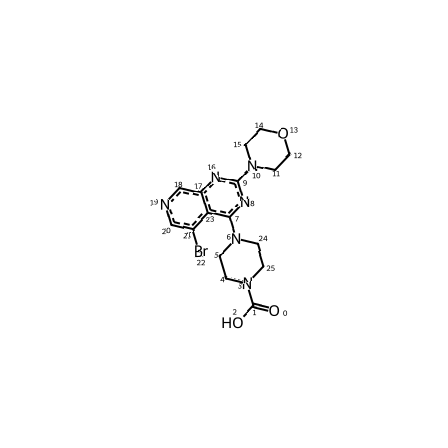 O=C(O)N1CCN(c2nc(N3CCOCC3)nc3cncc(Br)c23)CC1